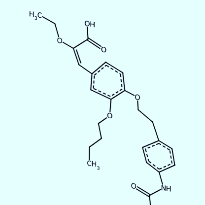 CCCCOc1cc(/C=C(/OCC)C(=O)O)ccc1OCCc1ccc(NC(C)=O)cc1